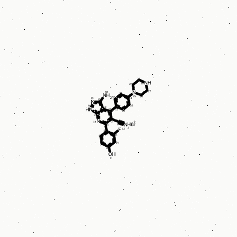 Br.N#Cc1c(-c2ccc(O)cc2F)nc2[nH]nc(N)c2c1-c1ccc(N2CCNCC2)cc1